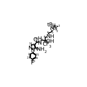 CC(C)(C)[Si](C)(C)OCCNC[C@@](O)(CNC(=O)c1cnn(-c2ccc(F)cc2)c1N)C(F)(F)F